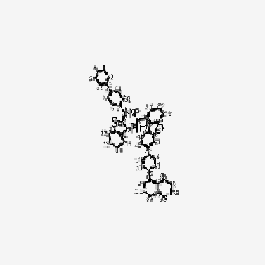 c1ccc(-c2ccc(C3=C4Sc5ccccc5C4NC(c4cccc5oc6cc(-c7ccc(-c8cccc9ccccc89)cc7)ccc6c45)=N3)cc2)cc1